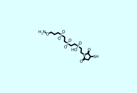 NOCCCS(=O)(=O)CCS(=O)(=O)CCP(=O)(O)CCN1C(=O)CC(S)C1=O